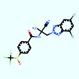 CC(C#N)(Cn1nc2cc(Cl)cc(Cl)c2n1)NC(=O)c1ccc([S+]([O-])C(F)(F)F)cc1